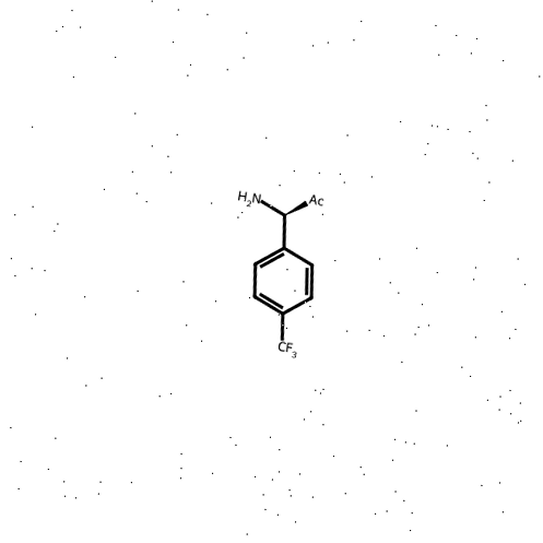 CC(=O)[C@H](N)c1ccc(C(F)(F)F)cc1